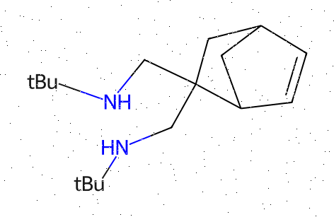 CC(C)(C)NCC1(CNC(C)(C)C)CC2C=CC1C2